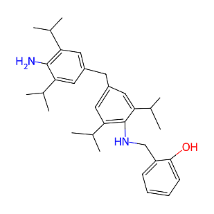 CC(C)c1cc(Cc2cc(C(C)C)c(NCc3ccccc3O)c(C(C)C)c2)cc(C(C)C)c1N